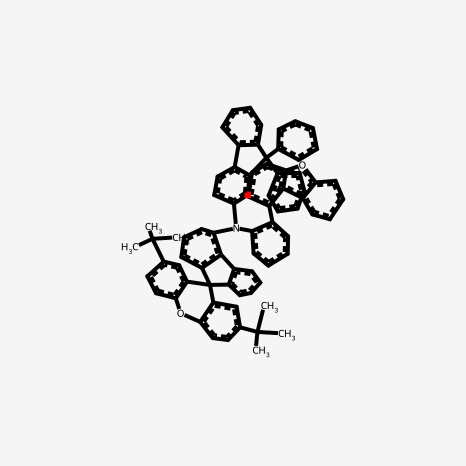 CC(C)(C)c1ccc2c(c1)C1(c3cc(C(C)(C)C)ccc3O2)c2ccccc2-c2c(N(c3ccc4c(c3)C(c3ccccc3)(c3ccccc3)c3ccccc3-4)c3ccccc3-c3cccc4oc5ccccc5c34)cccc21